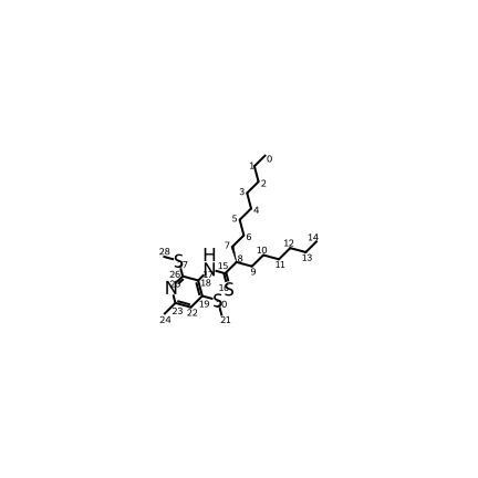 CCCCCCCC[C@@H](CCCCCC)C(=S)Nc1c(SC)cc(C)nc1SC